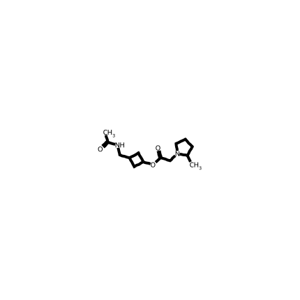 CC(=O)NCC1CC(OC(=O)CN2CCCC2C)C1